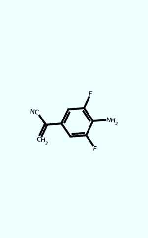 C=C(C#N)c1cc(F)c(N)c(F)c1